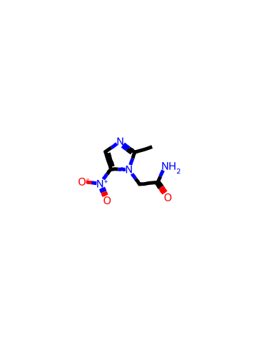 Cc1ncc([N+](=O)[O-])n1CC(N)=O